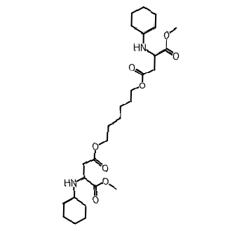 COC(=O)C(CC(=O)OCCCCCCOC(=O)CC(NC1CCCCC1)C(=O)OC)NC1CCCCC1